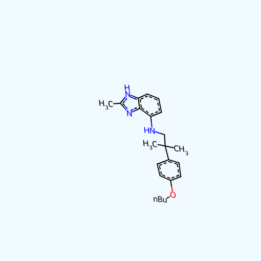 CCCCOc1ccc(C(C)(C)CNc2cccc3[nH]c(C)nc23)cc1